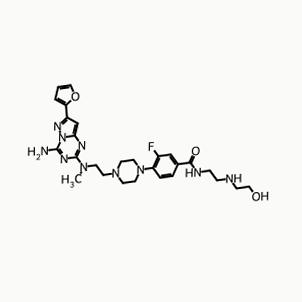 CN(CCN1CCN(c2ccc(C(=O)NCCNCCO)cc2F)CC1)c1nc(N)n2nc(-c3ccco3)cc2n1